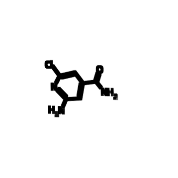 NC(=O)c1cc(N)nc(Cl)c1